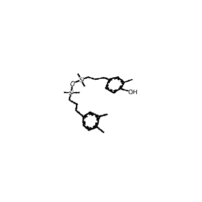 Cc1ccc(CCC[Si](C)(C)O[Si](C)(C)CCCc2ccc(O)c(C)c2)cc1C